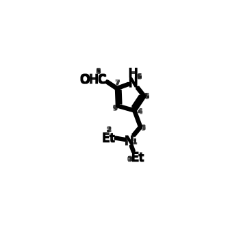 CCN(CC)Cc1c[nH]c(C=O)c1